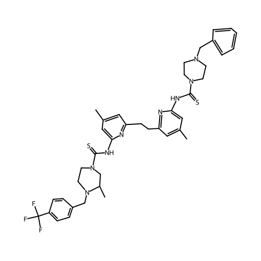 Cc1cc(CCc2cc(C)cc(NC(=S)N3CCN(Cc4ccc(C(F)(F)F)cc4)C(C)C3)n2)nc(NC(=S)N2CCN(Cc3ccccc3)CC2)c1